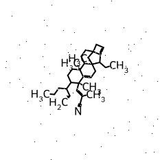 C=CC(CCC)C1CCC2(C)C(=CCC34C(CC)C5=CCC5(CCC23)C4C)C1(C)/C=C(\C)C#N